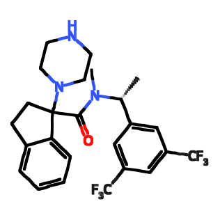 C[C@H](c1cc(C(F)(F)F)cc(C(F)(F)F)c1)N(C)C(=O)C1(N2CCNCC2)CCc2ccccc21